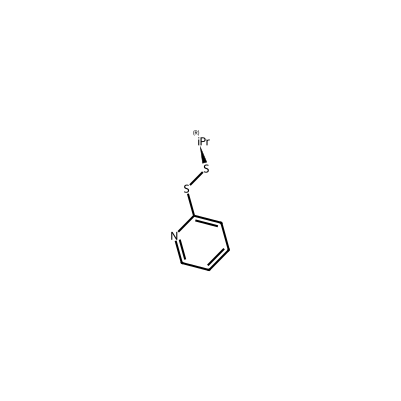 [CH2][C@H](C)SSc1ccccn1